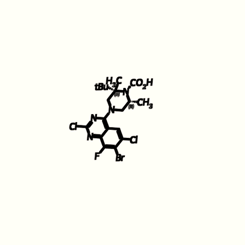 C[C@@H]1CN(c2nc(Cl)nc3c(F)c(Br)c(Cl)cc23)C[C@](C)(C(C)(C)C)N1C(=O)O